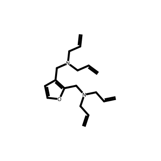 C=CCN(CC=C)Cc1ccoc1CN(CC=C)CC=C